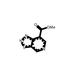 COC(=O)c1cncc2snnc12